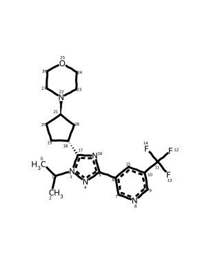 CC(C)n1nc(-c2cncc(C(F)(F)F)c2)nc1[C@@H]1CC[C@@H](N2CCOCC2)C1